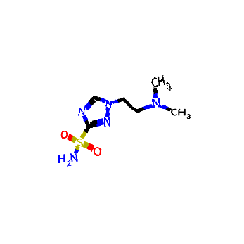 CN(C)CCn1cnc(S(N)(=O)=O)n1